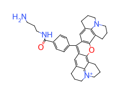 NCCCNC(=O)c1ccc(C2=c3cc4c5c(c3Oc3c2cc2c6c3CCCN6CCC2)CCC[N+]=5CCC4)cc1